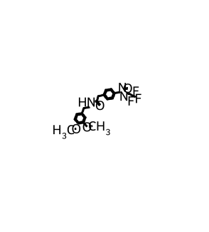 COc1ccc(CCNC(=O)Cc2ccc(-c3noc(C(F)(F)F)n3)cc2)cc1OC